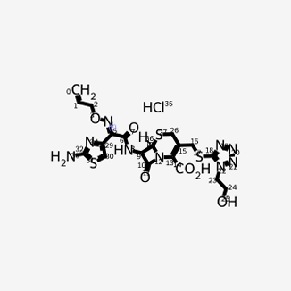 C=CCO/N=C(/C(=O)NC1C(=O)N2C(C(=O)O)=C(CSc3nnnn3CCO)CS[C@H]12)c1csc(N)n1.Cl